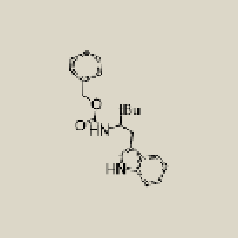 CC(C)(C)C(Cc1c[nH]c2ccccc12)NC(=O)OCc1ccccc1